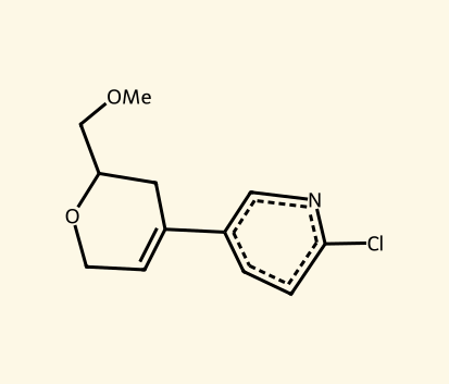 COCC1CC(c2ccc(Cl)nc2)=CCO1